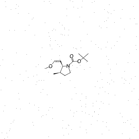 CO/C=C\[C@@H]1[C@H](C)CCN1C(=O)OC(C)(C)C